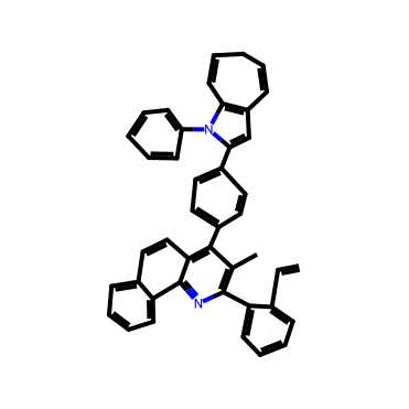 C=Cc1ccccc1-c1nc2c(ccc3ccccc32)c(-c2ccc(-c3cc4c(n3-c3ccccc3)C=CCC=C4)cc2)c1C